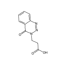 O=C(O)CCn1nnc2ccccc2c1=O